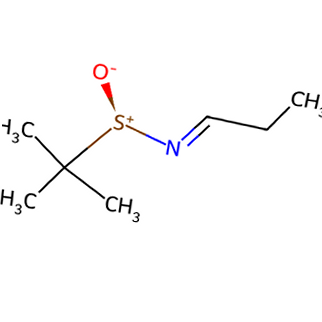 CCC=N[S@+]([O-])C(C)(C)C